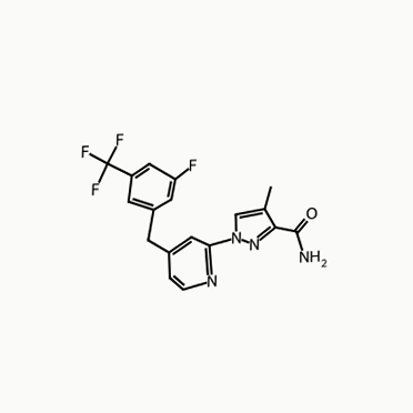 Cc1cn(-c2cc(Cc3cc(F)cc(C(F)(F)F)c3)ccn2)nc1C(N)=O